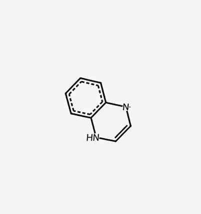 C1=CNc2ccccc2[N]1